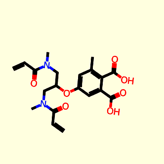 C=CC(=O)N(C)CC(CN(C)C(=O)C=C)Oc1cc(C)c(C(=O)O)c(C(=O)O)c1